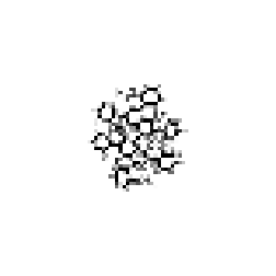 Cc1ccccc1-c1cc2c(-c3ccccc3C)cc(-c3ccccc3C)c3oc4c(-c5ccccc5C)cc5c(-c6ccccc6C)cc(-c6ccccc6C)c6oc1c(c23)-c4c56